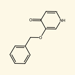 O=c1c[c][nH]cc1OCc1ccccc1